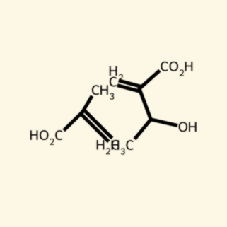 C=C(C(=O)O)C(C)O.C=C(C)C(=O)O